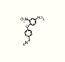 [N-]=[N+]=Cc1ccc(Oc2ccc([N+](=O)[O-])cc2[N+](=O)[O-])cc1